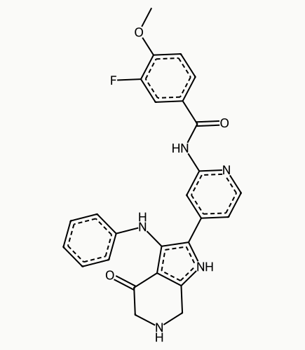 COc1ccc(C(=O)Nc2cc(-c3[nH]c4c(c3Nc3ccccc3)C(=O)CNC4)ccn2)cc1F